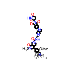 COc1cc(-c2cn(C)c(=O)c3c2CCN(C(=O)NCCN2CCC4(CCN4c4ccc5c(c4)C(=O)N(C4CCC(=O)NC4=O)C5=O)C2)C3)cc(OC)c1CN(C)C